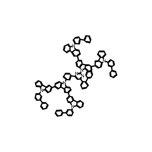 c1ccc(-c2cccc(-n3c4ccccc4c4cc(-c5ccc6c(c5)c5cc(-c7ccc8c(c7)c7ccccc7n8-c7cccc(-c8ccccc8)c7)ccc5n6-c5cccc(-c6cc(-c7ccccc7-c7ccccc7)nc(-n7c8ccc(-c9ccc%10c(c9)c9ccccc9n%10-c9cccc(-c%10ccccc%10)c9)cc8c8cc(-c9ccc%10c(c9)c9ccccc9n%10-c9cccc(-c%10ccccc%10)c9)ccc87)n6)c5)ccc43)c2)cc1